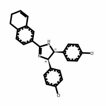 Clc1ccc([C@H]2N=C(c3ccc4c(c3)C=CCC4)N[C@H]2c2ccc(Cl)cc2)cc1